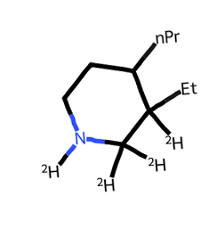 [2H]N1CCC(CCC)C([2H])(CC)C1([2H])[2H]